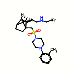 Cc1ccccc1N1CCN(S(=O)(=O)CC23CCC(CC2=CCNCC(C)C)C3(C)C)CC1